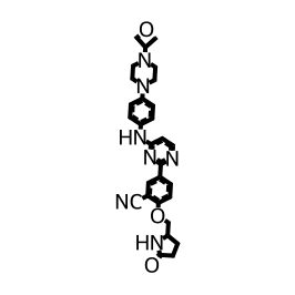 N#Cc1cc(-c2nccc(Nc3ccc(N4CCN(C5COC5)CC4)cc3)n2)ccc1OCC1CCC(=O)N1